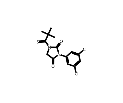 CC(C)(C)C(=S)N1CC(=O)N(c2cc(Cl)cc(Cl)c2)C1=O